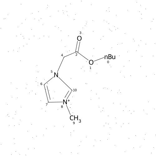 CCCCOC(=O)Cn1cc[n+](C)c1